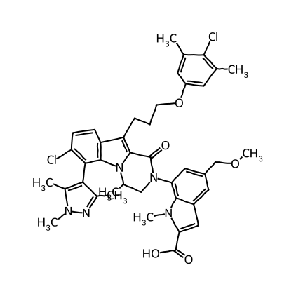 COCc1cc(N2CC(C)n3c(c(CCCOc4cc(C)c(Cl)c(C)c4)c4ccc(Cl)c(-c5c(C)nn(C)c5C)c43)C2=O)c2c(c1)cc(C(=O)O)n2C